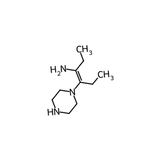 CCC(N)=C(CC)N1CCNCC1